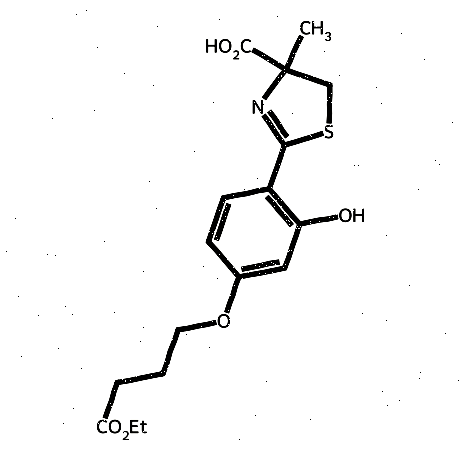 CCOC(=O)CCCOc1ccc(C2=NC(C)(C(=O)O)CS2)c(O)c1